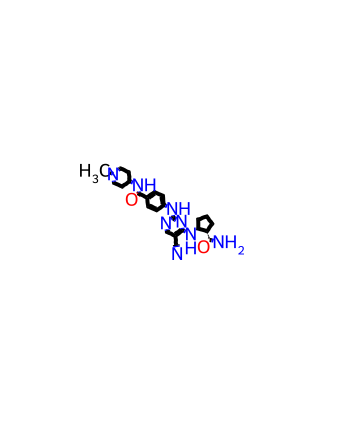 CN1CCC(NC(=O)c2ccc(Nc3ncc(C#N)c(N[C@@H]4CCC[C@@H]4C(N)=O)n3)cc2)CC1